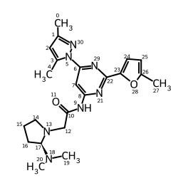 Cc1cc(C)n(-c2cc(NC(=O)CN3CCC[C@@H]3N(C)C)nc(-c3ccc(C)o3)n2)n1